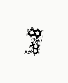 CC(=O)N1CCC2CN(S(=O)(=O)c3cccc4cnccc34)C(C)(C)C21